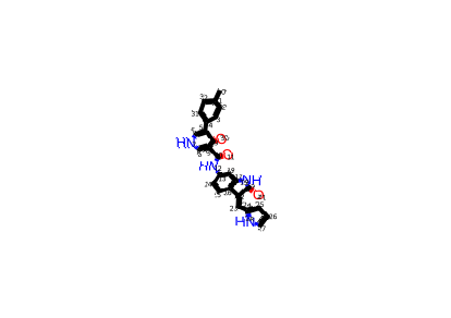 Cc1ccc(-c2c[nH]cc(C(=O)Nc3ccc4c(c3)NC(=O)C4=Cc3ccc[nH]3)c2=O)cc1